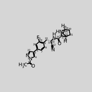 CC(=O)n1cc(-c2ccc(C[C@@H](C#N)NC(=O)[C@H]3N[C@@H]4CC[C@H]3C4)c(F)c2)cn1